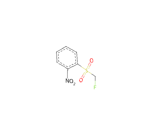 O=[N+]([O-])c1ccccc1S(=O)(=O)CF